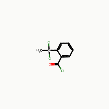 C[Si](Cl)(Cl)c1ccccc1C(=O)Cl